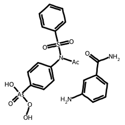 CC(=O)N(c1ccc([As](=O)(O)OO)cc1)S(=O)(=O)c1ccccc1.NC(=O)c1cccc(N)c1